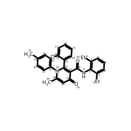 CCc1cccc(CC)c1NC(=O)c1c(-c2ccccc2Cl)n(-c2ccc(C)cc2)c(C)cc1=O